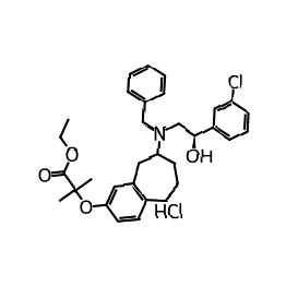 CCOC(=O)C(C)(C)Oc1ccc2c(c1)CC(N(Cc1ccccc1)C[C@H](O)c1cccc(Cl)c1)CCC2.Cl